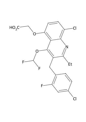 CCc1nc2c(Cl)ccc(OCC(=O)O)c2c(OC(F)F)c1Cc1ccc(Cl)cc1F